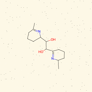 CC1=NC(C(O)C(O)C2=NC(C)CCC2)CCC1